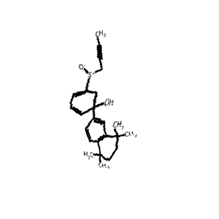 CC#CC[S+]([O-])C1=CC=CC(O)(c2ccc3c(c2)C(C)(C)CCC3(C)C)C1